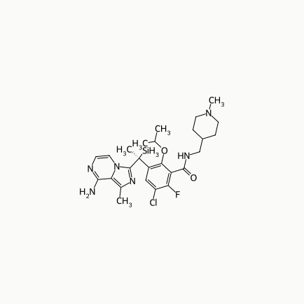 Cc1nc([C@@](C)([SiH3])c2cc(Cl)c(F)c(C(=O)NCC3CCN(C)CC3)c2OC(C)C)n2ccnc(N)c12